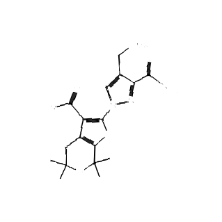 COCc1cn(-c2sc3c(c2C(N)=O)CC(C)(C)OC3(C)C)nc1C(N)=O